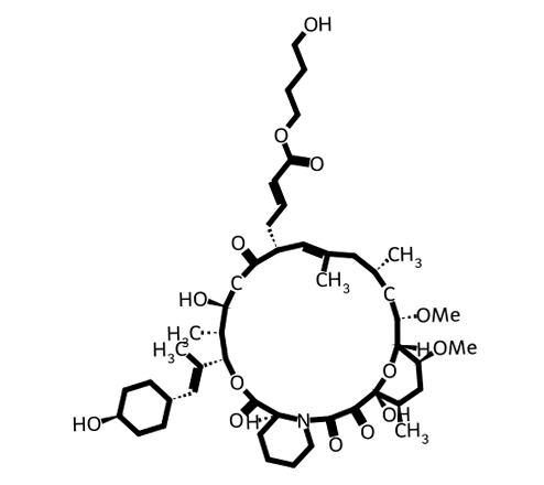 CO[C@H]1C[C@@H](C)C/C(C)=C/[C@@H](C/C=C/C(=O)OCCCCO)C(=O)C[C@H](O)[C@@H](C)[C@@H](/C(C)=C/[C@H]2CC[C@H](O)CC2)OC(=O)[C@@H]2CCCCN2C(=O)C(=O)[C@]2(O)O[C@H]1[C@@H](OC)C[C@H]2C